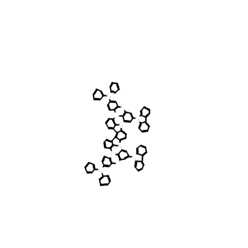 c1ccc(N(c2ccccc2)c2ccc3c(c2)Oc2cc(-n4c5ccccc5c5ccccc54)cc4c2B3c2cccc3c5c6c7cccc8c7n(c6ccc5n-4c23)-c2cc(-n3c4ccccc4c4ccccc43)cc3c2B8c2ccc(N(c4ccccc4)c4ccccc4)cc2O3)cc1